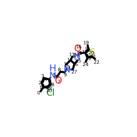 Cc1ccc(NC(=O)CCN2CC3CN(C(=O)c4c(C)sc(C)c4C)CC3C2)cc1Cl